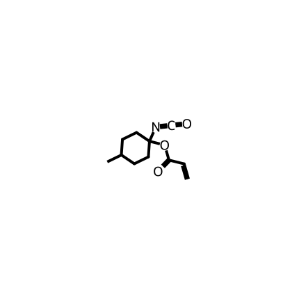 C=CC(=O)OC1(N=C=O)CCC(C)CC1